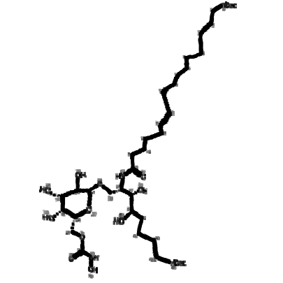 CCCCCCCCCCCCCCCCCCCCCCCCCC(=O)N[C@@H](CO[C@H]1O[C@H](COC(=O)NO)[C@H](O)[C@H](O)[C@H]1O)[C@H](O)[C@H](O)CCCCCCCCCCCCCC